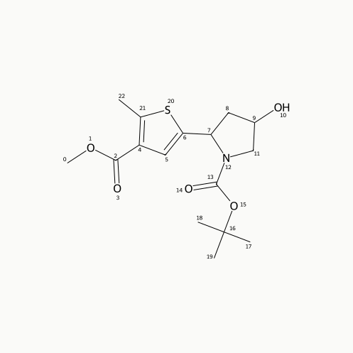 COC(=O)c1cc(C2CC(O)CN2C(=O)OC(C)(C)C)sc1C